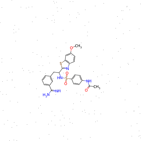 COc1ccc2nc(C(Cc3cccc(C(=N)N)c3)NS(=O)(=O)c3ccc(NC(C)=O)cc3)sc2c1